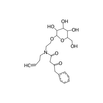 C#CCCN(CCOC1OC(CO)C(O)C(O)C1O)C(=O)CC(=O)Cc1ccccc1